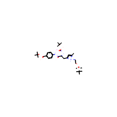 Cc1cc(CC(NC(=O)OC(C)(C)C)C(=O)Nc2ccc(C(=O)OC(C)(C)C)cc2)nn1CCO[Si](C)(C)C(C)(C)C